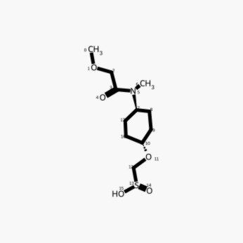 COCC(=O)N(C)[C@H]1CC[C@H](OCS(=O)O)CC1